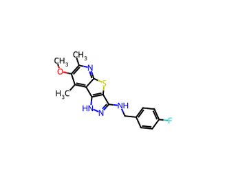 COc1c(C)nc2sc3c(NCc4ccc(F)cc4)n[nH]c3c2c1C